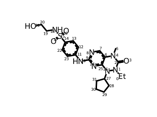 CCN1C(=O)N(C)c2cnc(Nc3ccc(S(=O)(=O)NCCO)cc3)nc2N1C1CCCC1